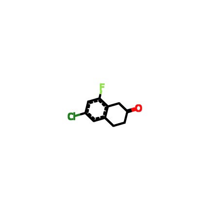 O=C1CCc2cc(Cl)cc(F)c2C1